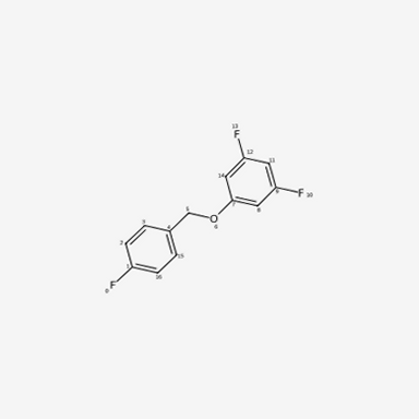 Fc1ccc(COc2cc(F)cc(F)c2)cc1